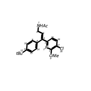 COc1nc(/C(=C/CNC(C)=O)c2ccc(C(C)(C)C)cc2)ccc1Cl